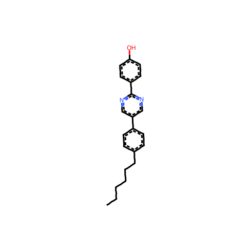 CCCCCCc1ccc(-c2cnc(-c3ccc(O)cc3)nc2)cc1